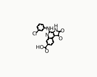 O=C1Nc2c(Nc3cccc(Cl)c3)nc3cc(C(=O)O)ccc3c2C1=O